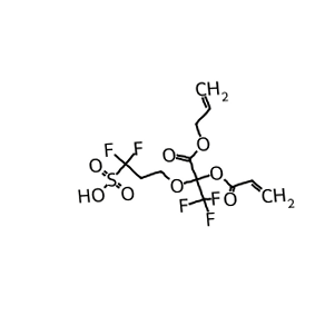 C=CCOC(=O)C(OCCC(F)(F)S(=O)(=O)O)(OC(=O)C=C)C(F)(F)F